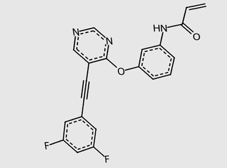 C=CC(=O)Nc1cccc(Oc2ncncc2C#Cc2cc(F)cc(F)c2)c1